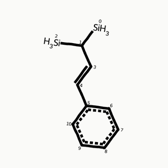 [SiH3]C([SiH3])C=Cc1ccccc1